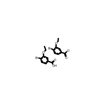 CCOc1cc(C(=O)Cl)ccc1Br.CCOc1cc(C(=O)O)ccc1Br